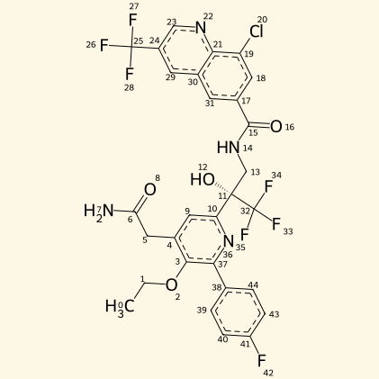 CCOc1c(CC(N)=O)cc([C@@](O)(CNC(=O)c2cc(Cl)c3ncc(C(F)(F)F)cc3c2)C(F)(F)F)nc1-c1ccc(F)cc1